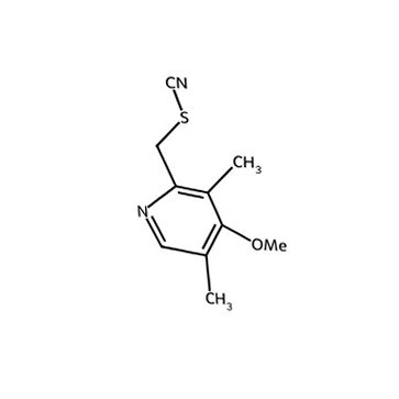 COc1c(C)cnc(CSC#N)c1C